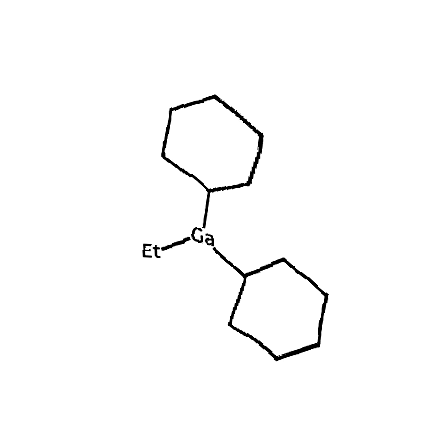 C[CH2][Ga]([CH]1CCCCC1)[CH]1CCCCC1